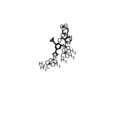 C[C@H]1Oc2c(C3CC3)cc(C3CN(C(=O)OC(C)(C)C)C3)cc2N(C(=O)OC(C)(C)C)c2ncnc(N3CCS(=O)(=O)CC3)c21